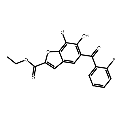 CCOC(=O)c1cc2cc(C(=O)c3ccccc3F)c(O)c(Cl)c2o1